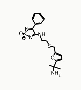 CC(C)(N)c1ccc(CSCCNC2=NS(=O)(=O)N=C2c2ccccc2)o1